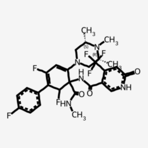 CNC(=O)C1(NC(=O)c2c[nH]c(=O)cc2C(F)(F)F)C(N2C[C@@H](C)N(C)[C@@H](C)C2)=CC(F)=C(c2ccc(F)cc2)C1F